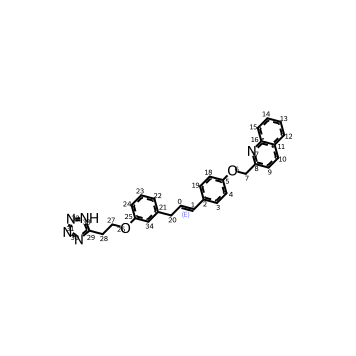 C(=C\c1ccc(OCc2ccc3ccccc3n2)cc1)/Cc1cccc(OCCc2nnn[nH]2)c1